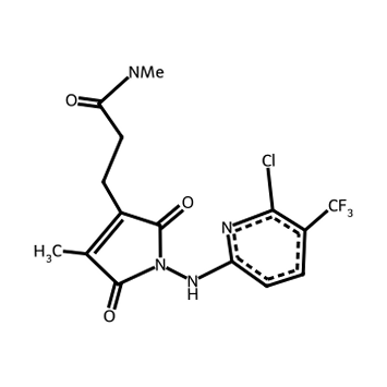 CNC(=O)CCC1=C(C)C(=O)N(Nc2ccc(C(F)(F)F)c(Cl)n2)C1=O